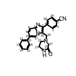 N#Cc1ccc(-c2nc3ccc(-c4ccccc4)cn3c2CN2CCNC(=O)C2)cc1